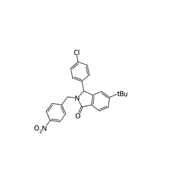 CC(C)(C)c1ccc2c(c1)C(c1ccc(Cl)cc1)N(Cc1ccc([N+](=O)[O-])cc1)C2=O